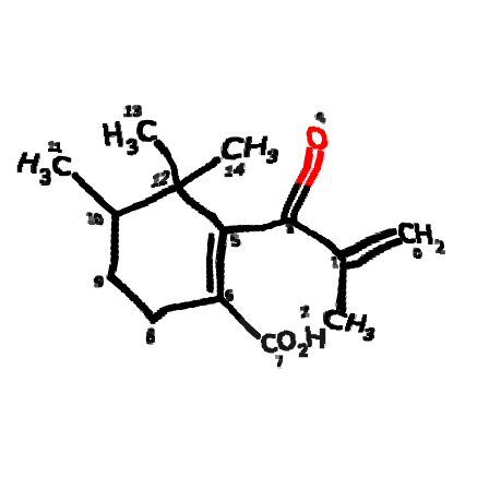 C=C(C)C(=O)C1=C(C(=O)O)CCC(C)C1(C)C